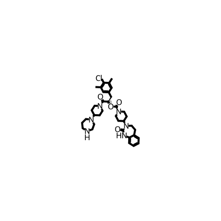 Cc1cc(C[C@@H](OC(=O)N2CCC(N3CCc4ccccc4NC3=O)CC2)C(=O)N2CCC(N3CCCNCC3)CC2)cc(C)c1Cl